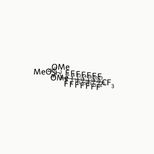 CO[Si](CCC(F)(F)C(F)(F)C(F)(F)C(F)(F)C(F)(F)C(F)(F)C(F)(F)C(F)(F)F)(OC)OC